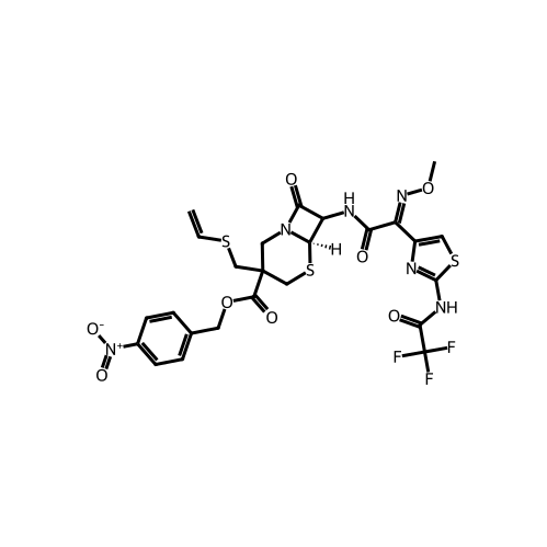 C=CSCC1(C(=O)OCc2ccc([N+](=O)[O-])cc2)CS[C@@H]2C(NC(=O)C(=NOC)c3csc(NC(=O)C(F)(F)F)n3)C(=O)N2C1